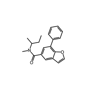 CCC(C)N(C)C(=O)c1cc(-c2ccccc2)c2occc2c1